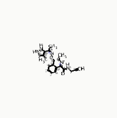 C#CCNC(=O)/C(=N/OC)c1ccccc1CO/N=C(/C)C1=C(C)SNN1